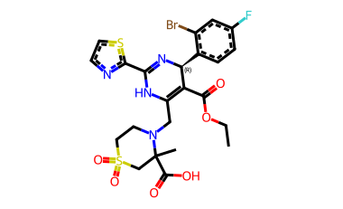 CCOC(=O)C1=C(CN2CCS(=O)(=O)CC2(C)C(=O)O)NC(c2nccs2)=N[C@H]1c1ccc(F)cc1Br